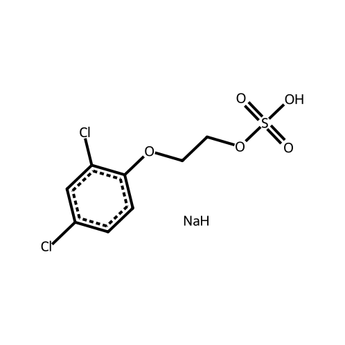 O=S(=O)(O)OCCOc1ccc(Cl)cc1Cl.[NaH]